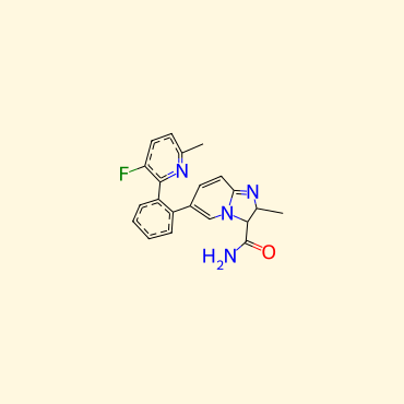 Cc1ccc(F)c(-c2ccccc2C2=CN3C(=NC(C)C3C(N)=O)C=C2)n1